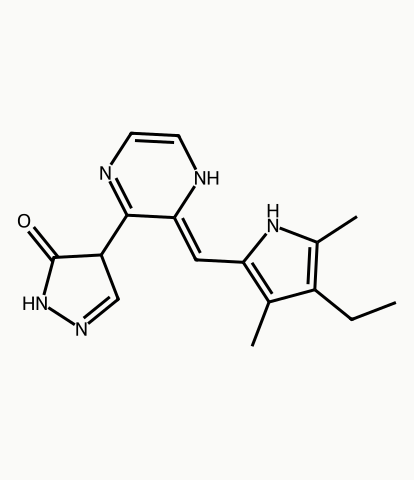 CCc1c(C)[nH]c(C=C2NC=CN=C2C2C=NNC2=O)c1C